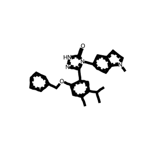 Cc1cc(OCc2ccccc2)c(-c2n[nH]c(=O)n2-c2ccc3c(ccn3C)c2)cc1C(C)C